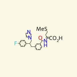 CSCC[C@H](NC(=O)c1cccc(CC(Cn2ccnc2)c2ccc(F)cc2)c1)C(=O)O